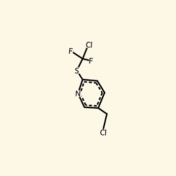 FC(F)(Cl)Sc1ccc(CCl)cn1